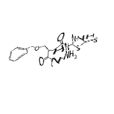 CN(N)C(=O)C(COCc1ccccc1)C(=O)Nc1n[nH]c(=S)s1